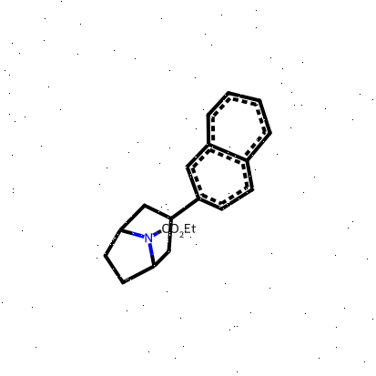 CCOC(=O)N1C2CCC1CC(c1ccc3ccccc3c1)C2